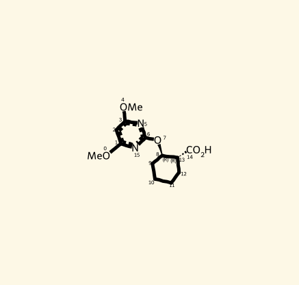 COc1cc(OC)nc(O[C@@H]2CCCC[C@H]2C(=O)O)n1